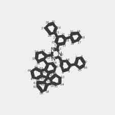 c1ccc(-c2cccc(-c3nc(-c4cc(-c5ccccc5)cc(-c5ccccc5)c4)nc(-c4ccccc4-c4cccc5c4-c4ccccc4C54c5ccccc5-c5ccccc54)n3)c2)cc1